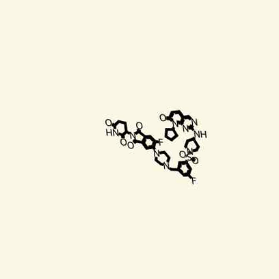 O=C1CCC(N2C(=O)c3cc(F)c(N4CCN(Cc5cc(F)cc(S(=O)(=O)N6CCC(Nc7ncc8ccc(=O)n(C9CCCC9)c8n7)CC6)c5)CC4)cc3C2=O)C(=O)N1